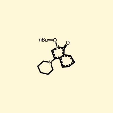 CCCCOn1cc(N2CCCCC2)c2ccccc2c1=O